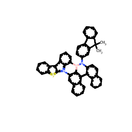 CC1(C)c2ccccc2-c2ccc(N3B4c5c(cc6ccccc6c5-c5c3ccc3ccccc53)-n3c5sc6ccccc6c5c5cccc4c53)cc21